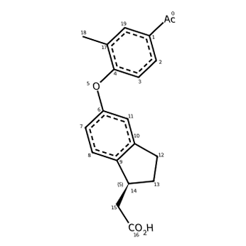 CC(=O)c1ccc(Oc2ccc3c(c2)CC[C@H]3CC(=O)O)c(C)c1